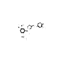 CC(Oc1ccc(S(C)(=O)=O)cc1C(=O)N1CCC(COC2=CC(Cl)=C(Cl)CC2)C1)C(F)(F)F